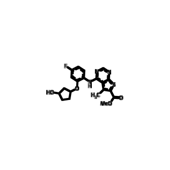 COC(=O)c1sc2ncnc(Nc3ccc(F)cc3OC3CCC(O)C3)c2c1C